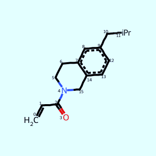 C=CC(=O)N1CCc2cc(CC(C)C)ccc2C1